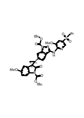 COc1ccc2c(c1)[C@]1(C[C@H]1c1ccc3c(Nc4ncc(S(=O)(=O)C(C)C)cc4OC)nn(C(=O)OC(C)(C)C)c3c1)C(=O)N2C(=O)OC(C)(C)C